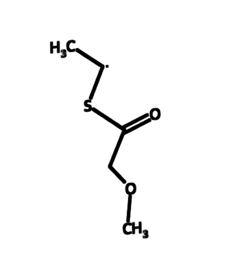 C[CH]SC(=O)COC